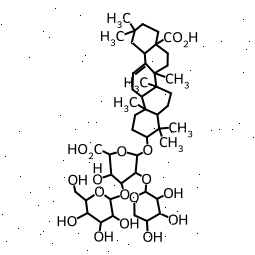 CC1(C)CCC2(C(=O)O)CCC3(C)C(=CCC4C5(C)CCC(OC6OC(C(=O)O)C(O)C(OC7OC(CO)C(O)C(O)C7O)C6OC6OCC(O)C(O)C6O)C(C)(C)C5CCC43C)C2C1